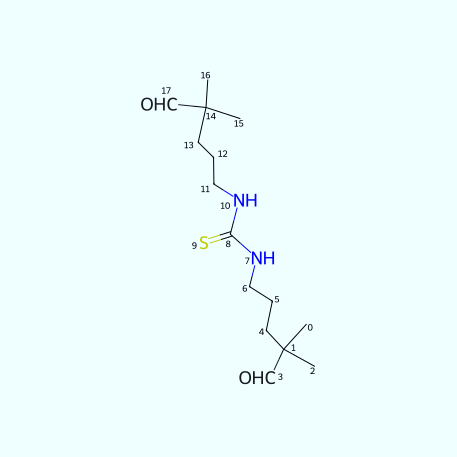 CC(C)(C=O)CCCNC(=S)NCCCC(C)(C)C=O